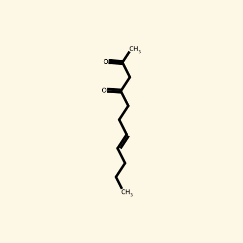 CCCC=CCCC(=O)CC(C)=O